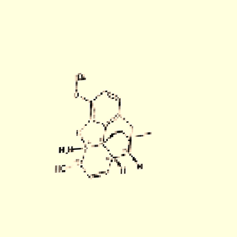 CCCCOc1ccc2c3c1O[C@@]1(N)[C@@H](O)C=C[C@H]4[C@@H](C2)N(C)CC[C@@]341